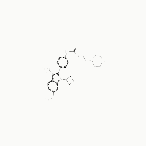 CCOc1ccc2c(N)c(-c3ccc(NC(=O)OCCN4CCOCC4)cc3)n(C3CCC3)c2c1